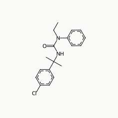 CCN(C(=O)NC(C)(C)c1ccc(Cl)cc1)c1ccccc1